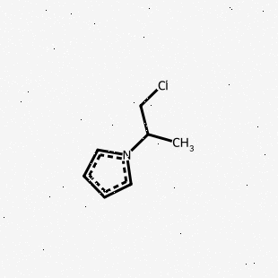 CC(CCl)n1cccc1